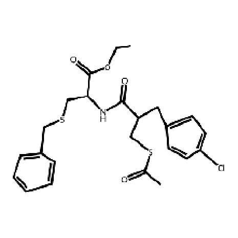 CCOC(=O)[C@H](CSCc1ccccc1)NC(=O)C(CSC(C)=O)Cc1ccc(Cl)cc1